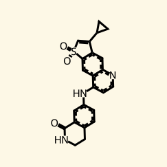 O=C1NCCc2ccc(Nc3ccnc4cc5c(cc34)S(=O)(=O)C=C5C3CC3)cc21